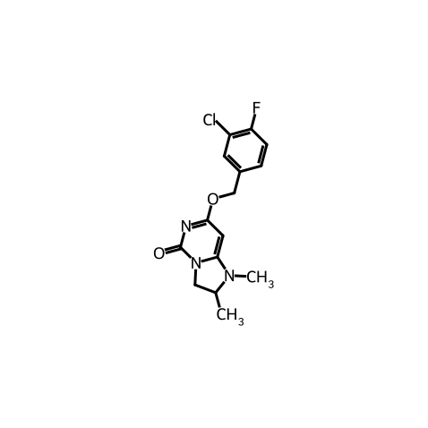 CC1Cn2c(cc(OCc3ccc(F)c(Cl)c3)nc2=O)N1C